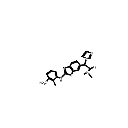 CCC(C(c1ccc2nc(Nc3cccc(C(=O)O)c3C)sc2c1)n1ccnc1)N(C)C